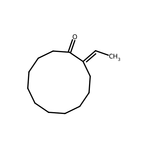 CC=C1CCCCCCCCCCC1=O